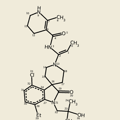 C/C=C(\NC(=O)C1=C(C)NCCC1)N1CCC2(CC1)C(=O)N(CC(C)(C)O)c1c(CC)ccc(Cl)c12